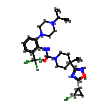 CC(C)N1CCN(c2cccc(C(F)(F)F)c2NC(=O)N2CCC(C)(c3noc([C@@H]4C[C@@H]4F)n3)CC2)CC1